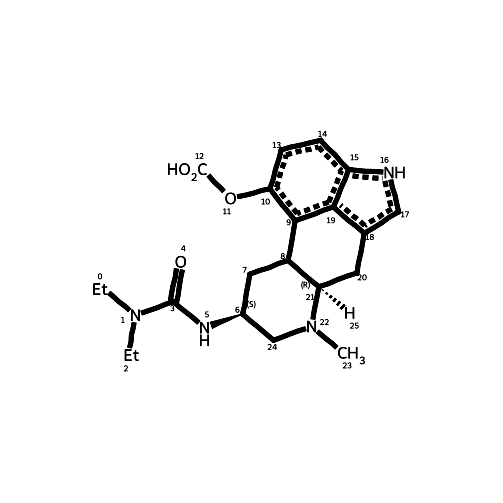 CCN(CC)C(=O)N[C@H]1CC2c3c(OC(=O)O)ccc4[nH]cc(c34)C[C@H]2N(C)C1